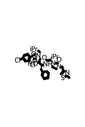 Cc1nc(CN2CCN([C@H](C(=O)N[C@@H](Cc3ccccc3)[C@@H](O)CN(CC(C)C)S(=O)(=O)c3ccc(Cl)cc3Cl)C(C)C)C2=O)cs1